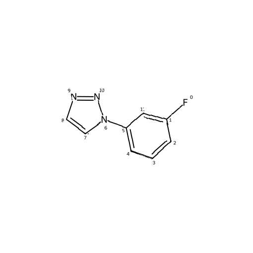 Fc1cccc(-n2[c]cnn2)c1